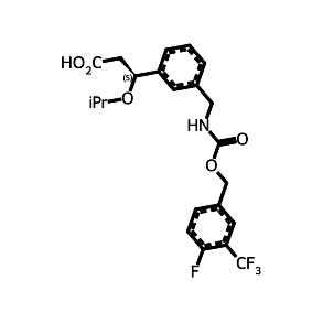 CC(C)O[C@@H](CC(=O)O)c1cccc(CNC(=O)OCc2ccc(F)c(C(F)(F)F)c2)c1